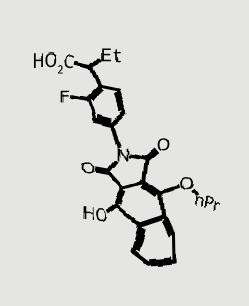 CCCOc1c2c(c(O)c3ccccc13)C(=O)N(c1ccc(C(CC)C(=O)O)c(F)c1)C2=O